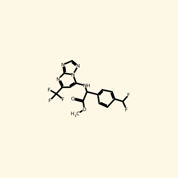 COC(=O)C(Nc1cc(C(F)(F)F)nc2ncnn12)c1ccc(C(F)F)cc1